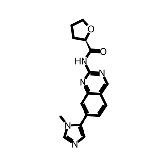 Cn1cncc1-c1ccc2cnc(NC(=O)[C@H]3CCCO3)nc2c1